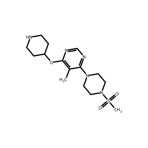 Cc1c(OC2CCNCC2)ncnc1N1CCN(S(C)(=O)=O)CC1